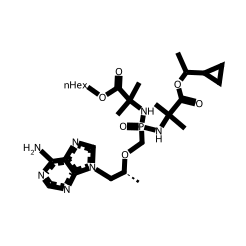 CCCCCCOC(=O)C(C)(C)NP(=O)(CO[C@H](C)Cn1cnc2c(N)ncnc21)NC(C)(C)C(=O)OC(C)C1CC1